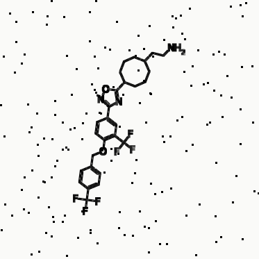 NCCC1CCCC(c2nc(-c3ccc(OCc4ccc(C(F)(F)F)cc4)c(C(F)(F)F)c3)no2)CCC1